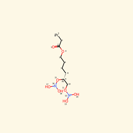 CC(C)CC(=O)OCCCC[C@H](CON(O)O)ON(O)O